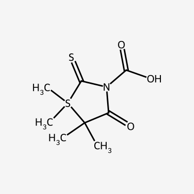 CC1(C)C(=O)N(C(=O)O)C(=S)S1(C)C